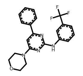 FC(F)(F)c1cccc(Nc2nc(-c3ccccc3)cc(N3CCOCC3)n2)c1